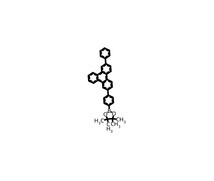 CC1(C)OB(c2ccc(-c3ccc4c5ccc(-c6ccccc6)cc5c5ccccc5c4c3)cc2)OC1(C)C